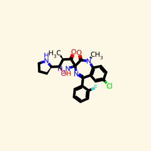 C[C@@H](C(=O)C1(N)N=C(c2ccccc2F)c2cc(Cl)ccc2N(C)C1=O)[C@@H](O)[C@H]1CCCN1